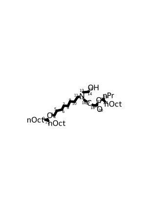 CCCCCCCCC(CCCCCCCC)OCCCCCCCCN(CCO)CCCC(=O)OC(CCC)CCCCCCCC